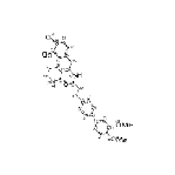 COc1ccc(-c2cnc(SCC(=O)NC(Cc3ccc(Cl)c(Cl)c3)C3CCCNC3)nc2)cc1OC